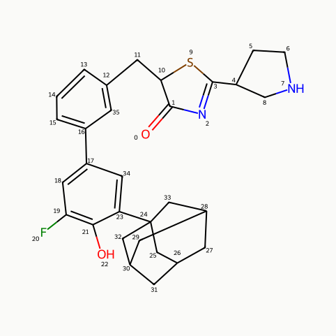 O=C1N=C(C2CCNC2)SC1Cc1cccc(-c2cc(F)c(O)c(C34CC5CC(CC(C5)C3)C4)c2)c1